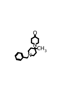 CC1(N2CCC(=O)CC2)CCN(Cc2ccccc2)CC1